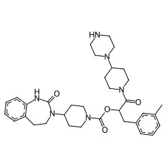 Cc1cccc(CC(OC(=O)N2CCC(N3CCc4ccccc4NC3=O)CC2)C(=O)N2CCC(N3CCNCC3)CC2)c1